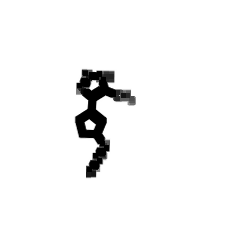 Cc1[nH]nnc1C1=CC(N=[N+]=[N-])CC1